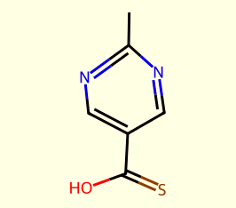 Cc1ncc(C(O)=S)cn1